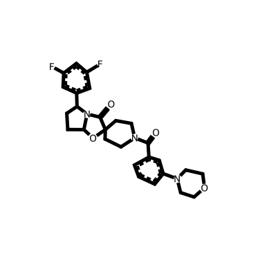 O=C(c1cccc(N2CCOCC2)c1)N1CCC2(CC1)OC1CCC(c3cc(F)cc(F)c3)N1C2=O